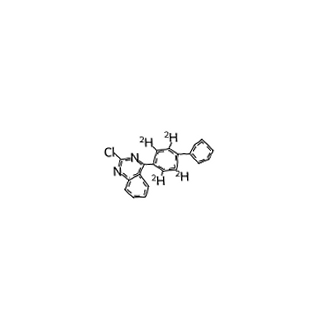 [2H]c1c([2H])c(-c2nc(Cl)nc3ccccc23)c([2H])c([2H])c1-c1ccccc1